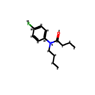 CCCCN(C(=O)CCC)c1ccc(F)cc1